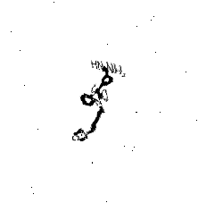 N=C(N)c1cccc(C2Sc3ccccc3N(CCCCCN3CCOCC3)C2=O)c1